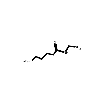 CCCCCCCCCC(=O)N[CH]N